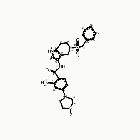 CN1CCN(c2ccc(C(=O)Nc3n[nH]c4c3CN(S(=O)(=O)Cc3ccccc3)CC4)c(N)c2)CC1